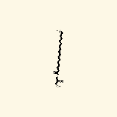 CCCCCCCCCCCCCCCCC(=O)OCC(O)CO